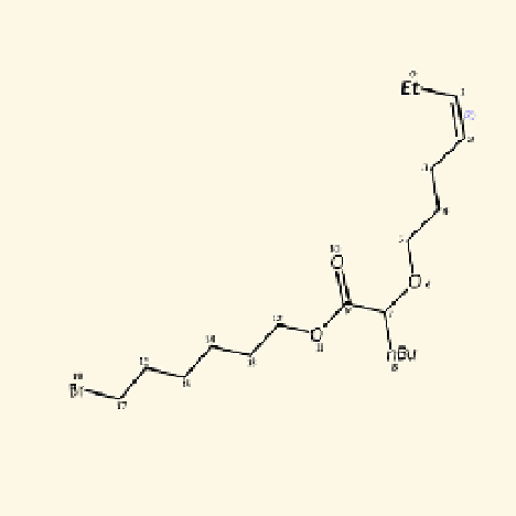 CC/C=C\CCCOC(CCCC)C(=O)OCCCCCCBr